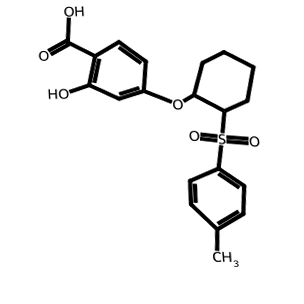 Cc1ccc(S(=O)(=O)C2CCCCC2Oc2ccc(C(=O)O)c(O)c2)cc1